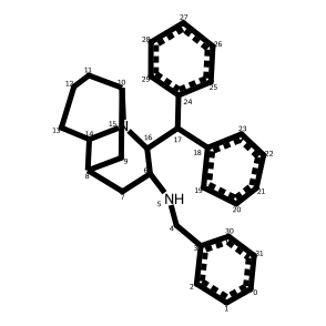 c1ccc(CNC2CC3CC4CCCC3N4C2C(c2ccccc2)c2ccccc2)cc1